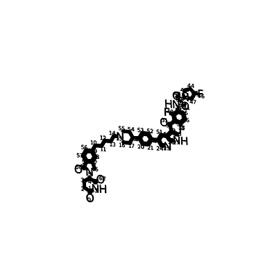 O=C1CCC(N2Cc3cc(CCCCCN4CCC(c5ccc(-c6cnc7[nH]cc(C(=O)c8c(F)ccc(NS(=O)(=O)N9CC[C@@H](F)C9)c8F)c7c6)cc5)CC4)ccc3C2=O)C(=O)N1